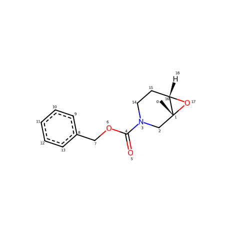 C[C@@]12CN(C(=O)OCc3ccccc3)CC[C@@H]1O2